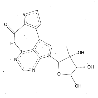 CC1(O)C(n2cc3c4c(ncnc42)NC(=O)c2sccc2-3)OC(O)[C@H]1O